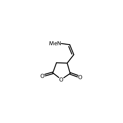 CN/C=C\C1CC(=O)OC1=O